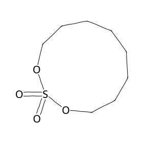 O=S1(=O)OCCCCCCCCO1